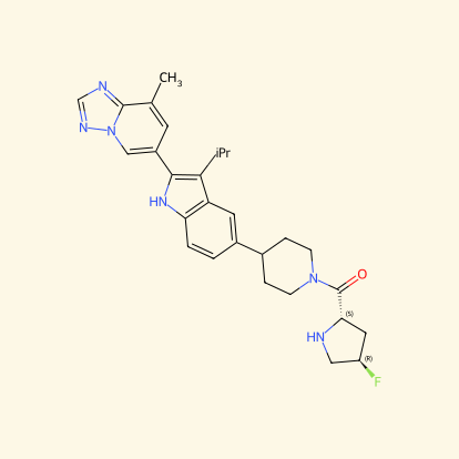 Cc1cc(-c2[nH]c3ccc(C4CCN(C(=O)[C@@H]5C[C@@H](F)CN5)CC4)cc3c2C(C)C)cn2ncnc12